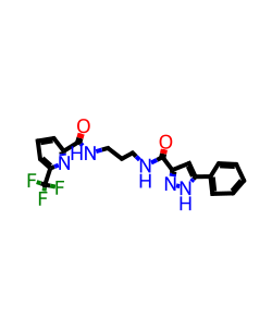 O=C(NCCCNC(=O)c1cccc(C(F)(F)F)n1)c1cc(-c2ccccc2)[nH]n1